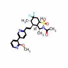 COc1ncccc1-c1ccc(/C=C/[C@@H]2[C@@H]3[C@@H](C)N(C(C)=O)S(=O)(=O)[C@@H]3CC(F)(F)[C@H]2C)nc1